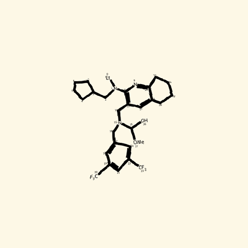 CCN(CC1CCCC1)c1nc2c(cc1CN(Cc1cc(C(F)(F)F)cc(C(F)(F)F)c1)C(O)OC)CCCC2